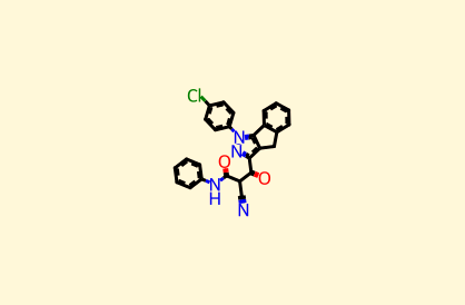 N#CC(C(=O)Nc1ccccc1)C(=O)c1nn(-c2ccc(Cl)cc2)c2c1Cc1ccccc1-2